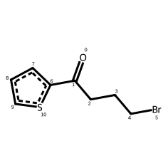 O=C(CCCBr)c1cccs1